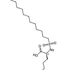 CCCCCCCCCCCCS(=O)(=O)N[C@@H](CCCN)C(=O)O